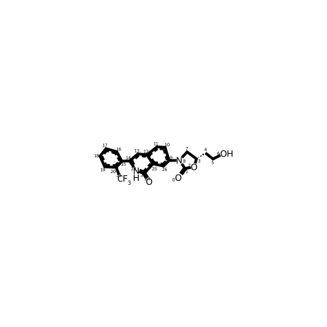 O=C1O[C@@H](CCO)CN1c1ccc2cc(-c3ccccc3C(F)(F)F)[nH]c(=O)c2c1